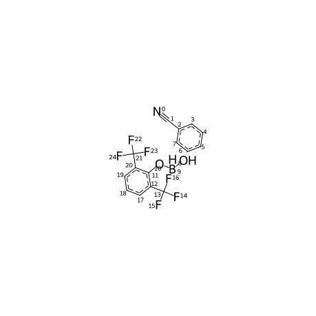 N#Cc1ccccc1.OBOc1c(C(F)(F)F)cccc1C(F)(F)F